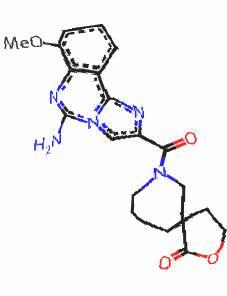 COc1cccc2c1nc(N)n1cc(C(=O)N3CCCC4(CCOC4=O)C3)nc21